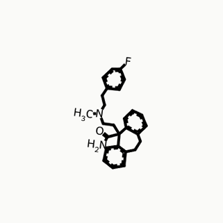 CN(CCc1ccc(F)cc1)CCC1(C(N)=O)c2ccccc2CCc2ccccc21